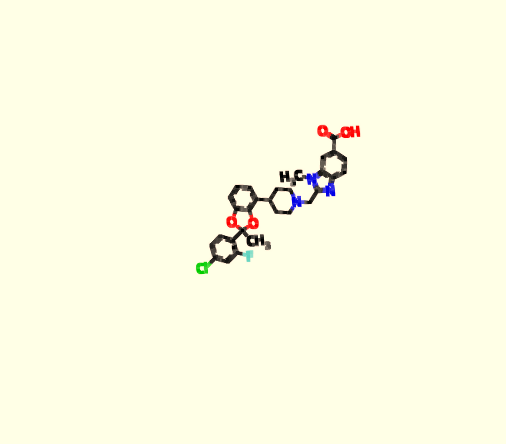 Cn1c(CN2CCC(c3cccc4c3OC(C)(c3ccc(Cl)cc3F)O4)CC2)nc2ccc(C(=O)O)cc21